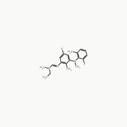 CCN(C)/C=N/c1cc(F)cc(N(C)c2c(C)cccc2F)c1C